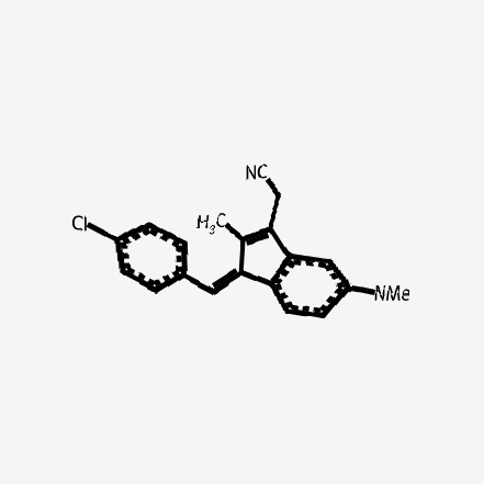 CNc1ccc2c(c1)C(CC#N)=C(C)C2=Cc1ccc(Cl)cc1